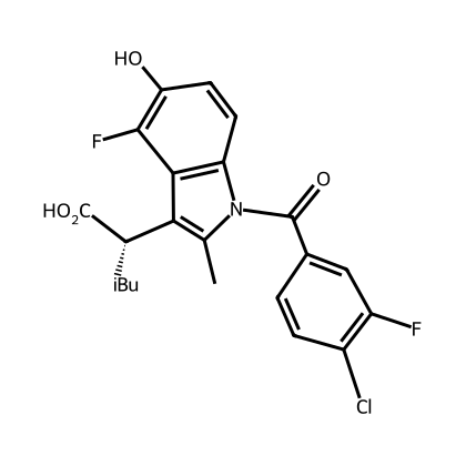 CCC(C)[C@H](C(=O)O)c1c(C)n(C(=O)c2ccc(Cl)c(F)c2)c2ccc(O)c(F)c12